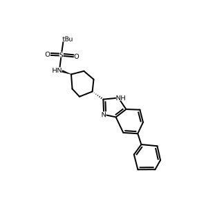 CC(C)(C)S(=O)(=O)N[C@H]1CC[C@H](c2nc3cc(-c4ccccc4)ccc3[nH]2)CC1